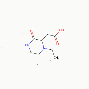 CCN1CCNC(=O)C1CC(=O)O